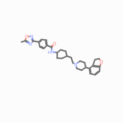 Cc1nc(-c2ccc(C(=O)NC3CCC(CCN4CCC(c5cccc6c5CCO6)CC4)CC3)cc2)no1